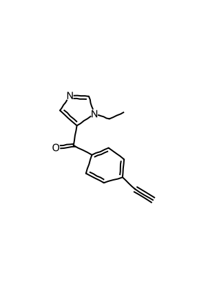 C#Cc1ccc(C(=O)c2cncn2CC)cc1